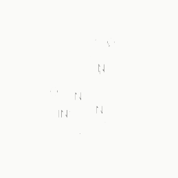 O=c1[nH]c2cccnc2n1CCN1CCOCC1